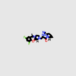 C[C@H](c1cc(F)cc(F)c1)N1C(=O)[C@@H]2CC1CN2C[C@H](N)C(=O)N1[C@H](C#N)CC2C[C@@H]21